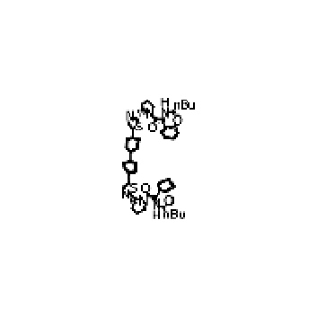 CCCCC(=O)N[C@@H](C(=O)N1CCC[C@H]1c1ncc(-c2ccc(-c3ccc(-c4cnc([C@@H]5CCCN5C(=O)[C@H](NC(=O)CCCC)c5ccccc5)s4)cc3)cc2)s1)c1ccccc1